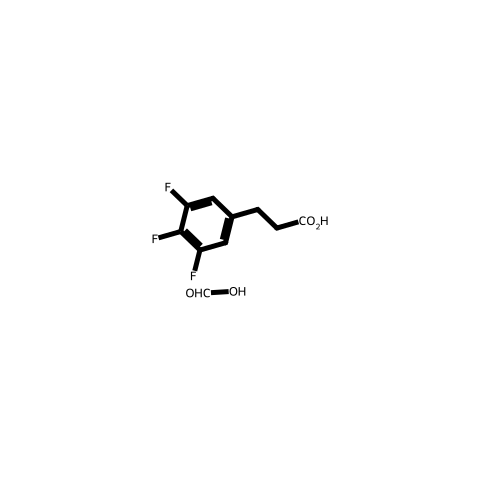 O=C(O)CCc1cc(F)c(F)c(F)c1.O=CO